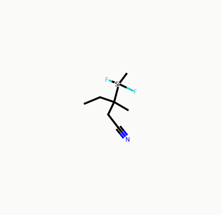 CCC(C)(CC#N)[Si](C)(F)F